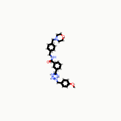 COc1ccc(Cn2nnc(-c3cccc(C(=O)NCc4ccc(CN5CCOCC5)cc4)c3)n2)cc1